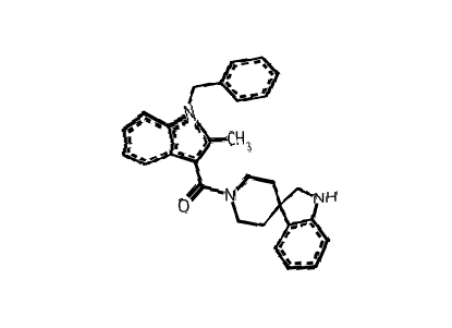 Cc1c(C(=O)N2CCC3(CC2)CNc2ccccc23)c2ccccc2n1Cc1ccccc1